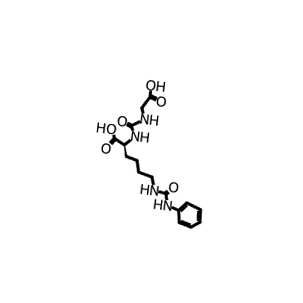 O=C(O)CNC(=O)N[C@@H](CCCCNC(=O)Nc1ccccc1)C(=O)O